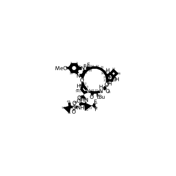 COc1ccc2nc3c(nc2c1)O[C@H]1CN(C(=O)[C@H](C(C)(C)C)NC(=O)O[C@@H]2C[C@@H]4CC[C@@H]4[C@H]2CCCCC3(F)F)[C@H](C(=O)N[C@]2(C(=O)NS(=O)(=O)C3(C)CC3)C[C@H]2C(F)F)[C@@H]1C